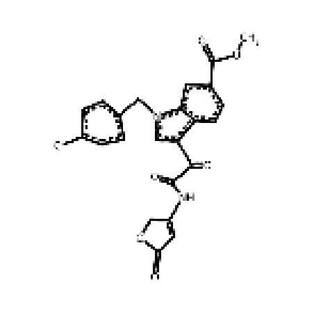 COC(=O)c1ccc2c(C(=O)C(=O)NC3=CC(=O)OC3)cn(Cc3ccc(Cl)cc3)c2c1